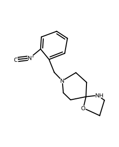 [C-]#[N+]c1ccccc1CN1CCC2(CC1)NCCO2